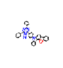 c1ccc(C2=NC(c3ccccc3)NC(c3ccc(-n4c5ccccc5c5c6oc7ccccc7c6ccc54)cc3)=N2)cc1